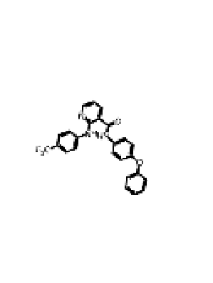 O=C(Nc1ccc(Oc2ccccc2)cc1)c1cccnc1Nc1ccc(C(F)(F)F)cc1